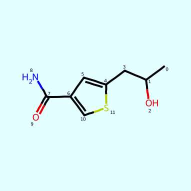 CC(O)Cc1cc(C(N)=O)cs1